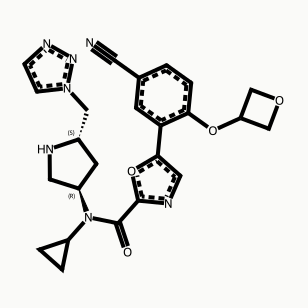 N#Cc1ccc(OC2COC2)c(-c2cnc(C(=O)N(C3CC3)[C@H]3CN[C@H](Cn4ccnn4)C3)o2)c1